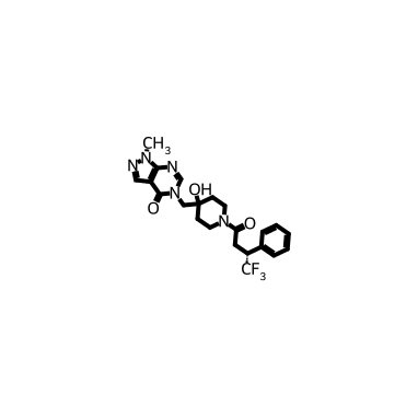 Cn1ncc2c(=O)n(CC3(O)CCN(C(=O)C[C@H](c4ccccc4)C(F)(F)F)CC3)cnc21